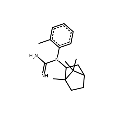 Cc1ccccc1N(C(=N)N)C1CC2CCC1(C)C2(C)C